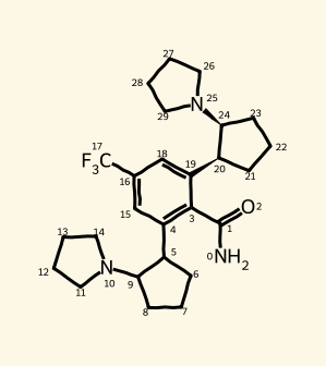 NC(=O)c1c(C2CCCC2N2CCCC2)cc(C(F)(F)F)cc1[C@@H]1CCC[C@@H]1N1CCCC1